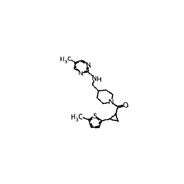 Cc1cnc(NCC2CCN(C(=O)C3CC3c3ccc(C)s3)CC2)nc1